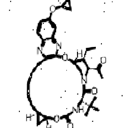 CC[C@@H]1[C@@H]2CN(C(=O)[C@H](C(C)(C)C)NC(=O)O[C@@H]3C[C@H]3CCCCCc3nc4ccc(OC5CC5)cc4nc3O2)[C@@H]1C(C)=O